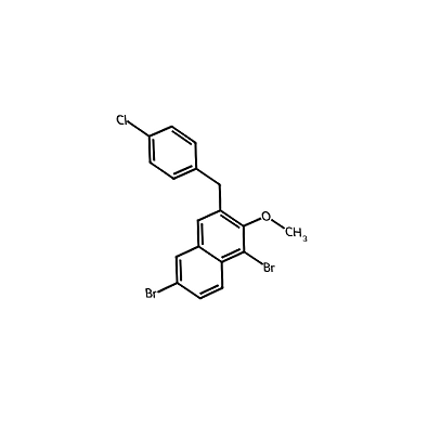 COc1c(Cc2ccc(Cl)cc2)cc2cc(Br)ccc2c1Br